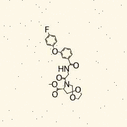 COC(=O)[C@@H]1CC2(CN1C(=O)CNC(=O)c1cccc(Oc3ccc(F)cc3)c1)OCCO2